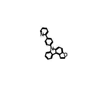 c1ccc(-c2ccc(-n3c4ccccc4c4c5ccoc5ccc43)cc2)nc1